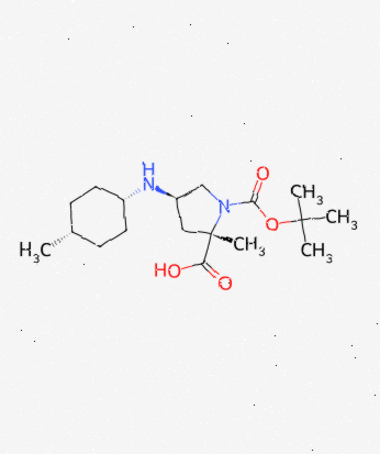 CC(C)(C)OC(=O)N1C[C@H](N[C@H]2CC[C@@H](C)CC2)C[C@@]1(C)C(=O)O